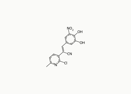 Cc1ccc(C(C#N)=Cc2cc(O)c(O)c([N+](=O)[O-])c2)c(Cl)n1